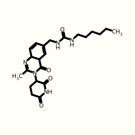 CCCCCCNC(=O)NCC1=CC2C(=O)N(C3CCC(=O)NC3=O)C(C)=NC2C=C1